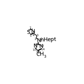 CCCCCCCN(CCc1cs[c]n1)c1ncc(C)cn1